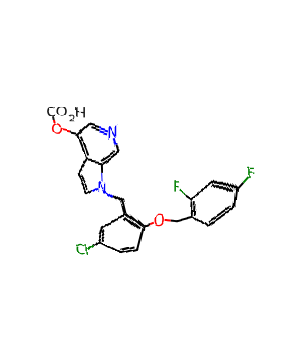 O=C(O)Oc1cncc2c1ccn2Cc1cc(Cl)ccc1OCc1ccc(F)cc1F